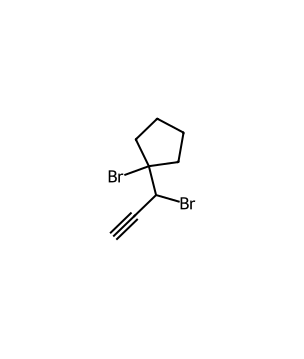 C#CC(Br)C1(Br)CCCC1